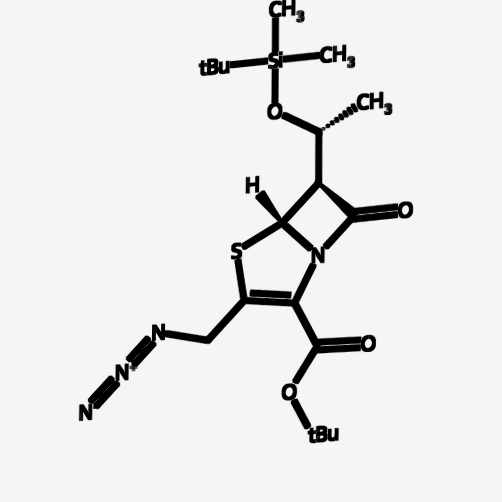 C[C@@H](O[Si](C)(C)C(C)(C)C)[C@H]1C(=O)N2C(C(=O)OC(C)(C)C)=C(CN=[N+]=[N-])S[C@H]12